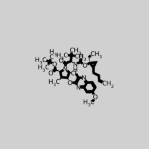 C=CCCC1C[C@]1(CC)OC(=O)N[C@H](C(=O)N1C[C@H](Oc2nc3cc(OC)ccc3nc2Cl)[C@@H](C)[C@H]1C(=O)OC(C)(C)C)C(C)(C)C